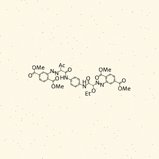 CCOC(N=Nc1cc(C(=O)OC)ccc1C(=O)OC)C(=O)Nc1ccc(NC(=O)C(N=Nc2cc(C(=O)OC)ccc2C(=O)OC)C(C)=O)cc1